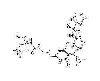 O=C(NCCCc1cc(O)c(C(c2cccc(NS(=O)(=O)c3ccccn3)c2)C2CC2)c(=O)o1)NC(CO)(CO)CO